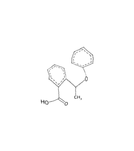 CC(Oc1ccccc1)c1ccccc1C(=O)O